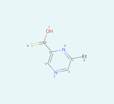 CCc1cncc(C(O)=S)n1